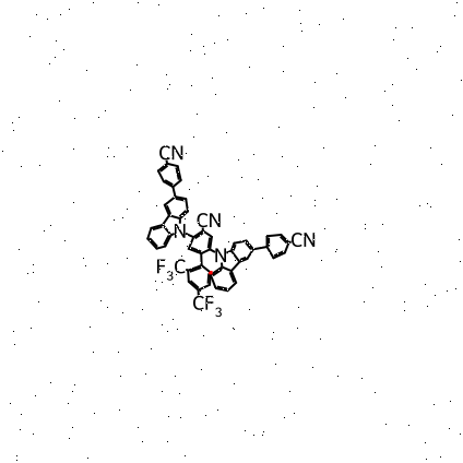 N#Cc1ccc(-c2ccc3c(c2)c2ccccc2n3-c2cc(-c3ccc(C(F)(F)F)cc3C(F)(F)F)c(-n3c4ccccc4c4cc(-c5ccc(C#N)cc5)ccc43)cc2C#N)cc1